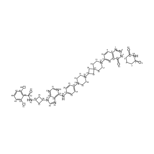 O=C1CC[C@H](n2nnc3ccc(N4CCC5(CC4)CC(N4CCN(c6ccc(Nc7ncnc8c7ncn8C7CC(NC(=O)c8c(Cl)cccc8Cl)C7)cc6)CC4)C5)cc3c2=O)C(=O)N1